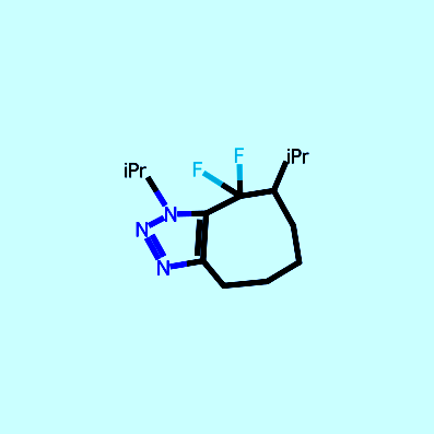 CC(C)C1CCCCc2nnn(C(C)C)c2C1(F)F